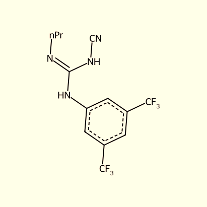 CCC/N=C(\NC#N)Nc1cc(C(F)(F)F)cc(C(F)(F)F)c1